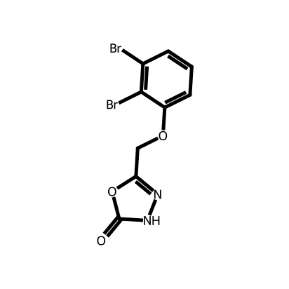 O=c1[nH]nc(COc2cccc(Br)c2Br)o1